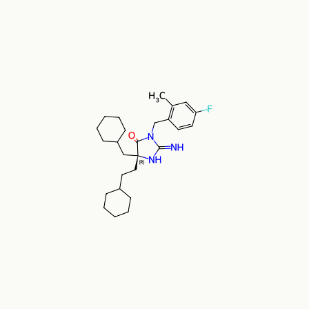 Cc1cc(F)ccc1CN1C(=N)N[C@](CCC2CCCCC2)(CC2CCCCC2)C1=O